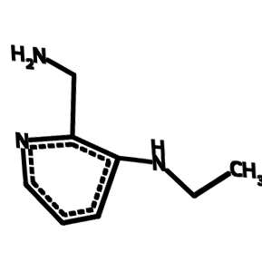 CCNc1cccnc1CN